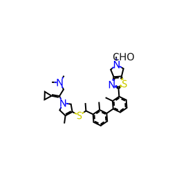 CC1=C(SC(C)c2cccc(-c3cccc(-c4nc5c(s4)CN(C=O)C5)c3C)c2C)CN(C(CN(C)C)=C2CC2)C1